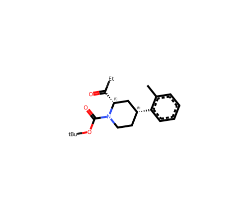 CCC(=O)[C@@H]1C[C@H](c2ccccc2C)CCN1C(=O)OC(C)(C)C